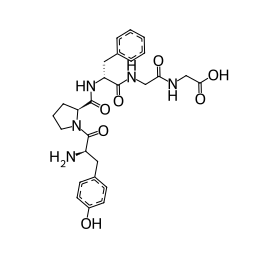 N[C@H](Cc1ccc(O)cc1)C(=O)N1CCC[C@H]1C(=O)N[C@H](Cc1ccccc1)C(=O)NCC(=O)NCC(=O)O